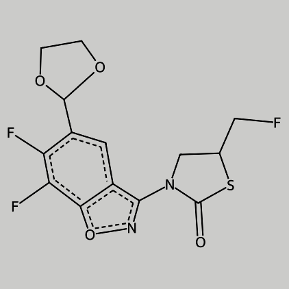 O=C1SC(CF)CN1c1noc2c(F)c(F)c(C3OCCO3)cc12